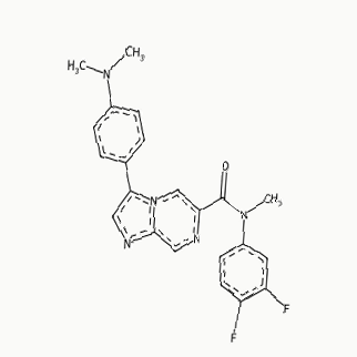 CN(C)c1ccc(-c2cnc3cnc(C(=O)N(C)c4ccc(F)c(F)c4)cn23)cc1